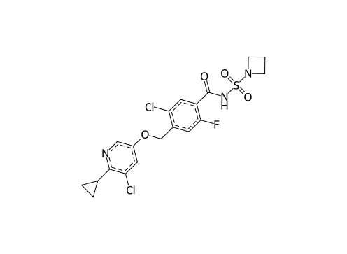 O=C(NS(=O)(=O)N1CCC1)c1cc(Cl)c(COc2cnc(C3CC3)c(Cl)c2)cc1F